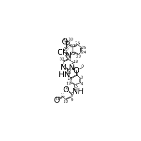 COc1ccc(NC(=O)/C=C\C=O)cc1Nc1ncc(N(Cl)c2ccccc2P(C)(C)=O)cn1